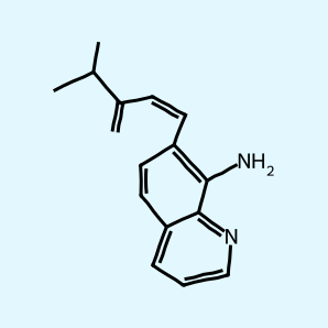 C=C(/C=C\c1ccc2cccnc2c1N)C(C)C